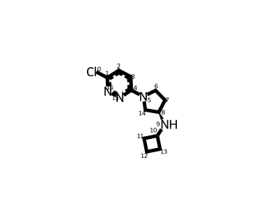 Clc1ccc(N2CC[C@@H](NC3CCC3)C2)nn1